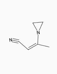 C/C(=C/C#N)N1CC1